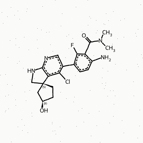 CN(C)C(=O)c1c(N)ccc(-c2cnc3c(c2Cl)[C@@]2(CC[C@@H](O)C2)CN3)c1F